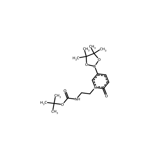 CC(C)(C)OC(=O)NCCn1cc(B2OC(C)(C)C(C)(C)O2)ccc1=O